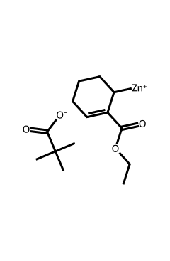 CC(C)(C)C(=O)[O-].CCOC(=O)C1=CCCC[CH]1[Zn+]